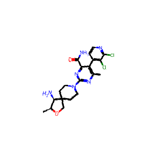 Cc1nc(N2CCC3(CC2)CO[C@@H](C)[C@H]3N)nc(C(N)=O)c1-c1ccnc(Cl)c1Cl